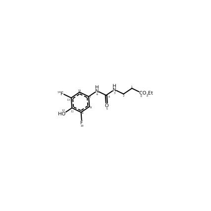 CCOC(=O)CCNC(=O)Nc1cc(F)c(O)c(F)c1